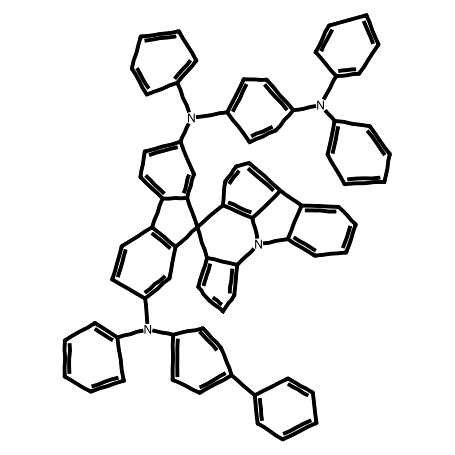 c1ccc(-c2ccc(N(c3ccccc3)c3ccc4c(c3)C3(c5cc(N(c6ccccc6)c6ccc(N(c7ccccc7)c7ccccc7)cc6)ccc5-4)c4ccccc4-n4c5ccccc5c5cccc3c54)cc2)cc1